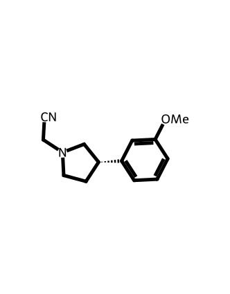 COc1cccc([C@@H]2CCN(CC#N)C2)c1